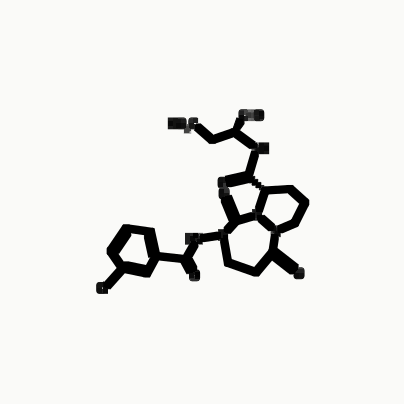 O=C[C@H](CC(=O)O)NC(=O)[C@@H]1CCCN2C(=O)CCN(NC(=O)c3cccc(Cl)c3)C(=O)N12